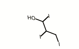 OC(I)C(I)CI